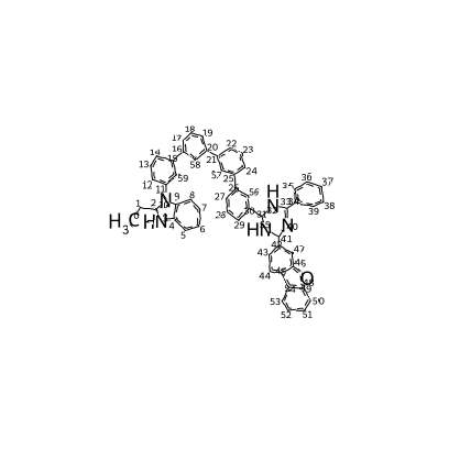 CCC1Nc2ccccc2N1c1cccc(-c2cccc(-c3cccc(-c4cccc(C5NC(c6ccccc6)=NC(c6ccc7c(c6)oc6ccccc67)N5)c4)c3)c2)c1